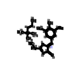 CC(C)(C)c1cc(/C=C2\OC(NC#N)=NC2=O)cc(C(C)(C)C)c1O.C[N+](C)(C)CCO